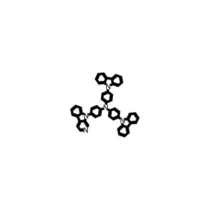 c1ccc2c(c1)c1ccccc1n2-c1ccc(N(c2ccc(-n3c4ccccc4c4ccccc43)cc2)c2ccc(-n3c4ccccc4c4ccncc43)cc2)cc1